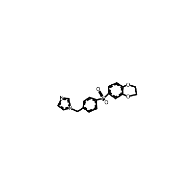 O=S(=O)(c1ccc(Cn2ccnc2)cc1)c1ccc2c(c1)OCCO2